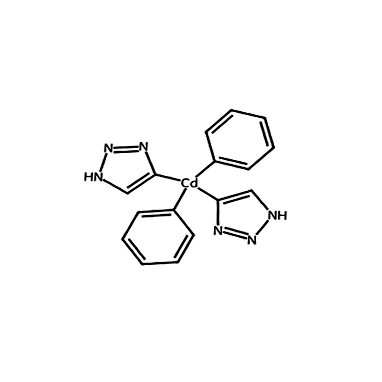 c1cc[c]([Cd]([c]2ccccc2)([c]2c[nH]nn2)[c]2c[nH]nn2)cc1